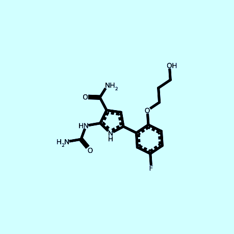 NC(=O)Nc1[nH]c(-c2cc(F)ccc2OCCCO)cc1C(N)=O